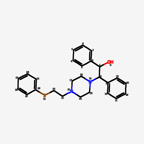 OC(c1ccccc1)C(c1ccccc1)N1CCN(CCSc2ccccc2)CC1